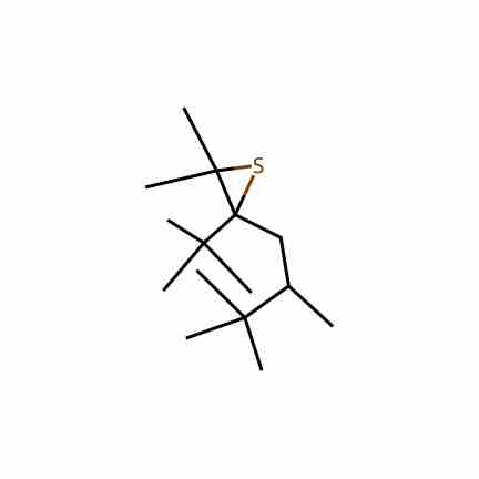 CC(CC1(C(C)(C)C)SC1(C)C)C(C)(C)C